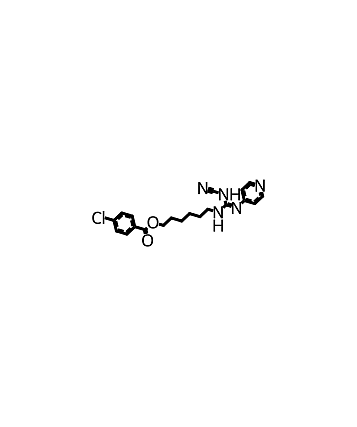 N#CNC(=Nc1ccncc1)NCCCCCCOC(=O)c1ccc(Cl)cc1